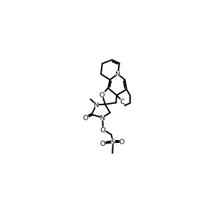 CN1C(=O)N(OCS(C)(=O)=O)CC12CC13CCCCC1=CN1C=CCCC1=C3O2